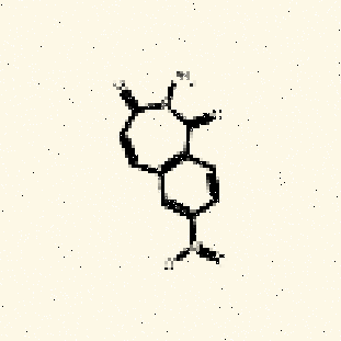 O=c1ccc2cc([N+](=O)[O-])ccc2c(=O)n1P